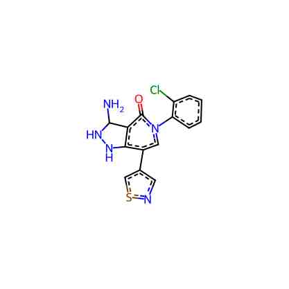 NC1NNc2c(-c3cnsc3)cn(-c3ccccc3Cl)c(=O)c21